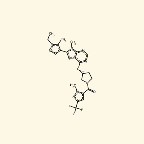 CCn1ncc(-c2nc3c(O[C@H]4CCN(C(=O)c5cc(C(F)(F)F)nn5C)C4)ncnc3n2C)c1C